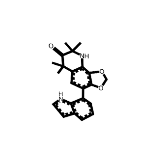 CC1(C)Nc2c(cc(-c3cccc4cc[nH]c34)c3c2OCO3)C(C)(C)C1=O